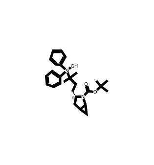 CC(C)(C)OC(=O)N1C2CC2C[C@@H]1CCC(C)(C)[Si](O)(c1ccccc1)c1ccccc1